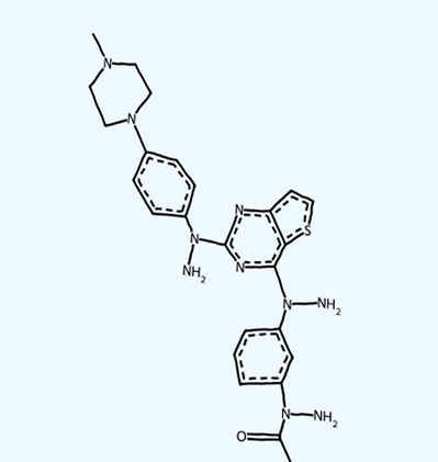 C=CC(=O)N(N)c1cccc(N(N)c2nc(N(N)c3ccc(N4CCN(C)CC4)cc3)nc3ccsc23)c1